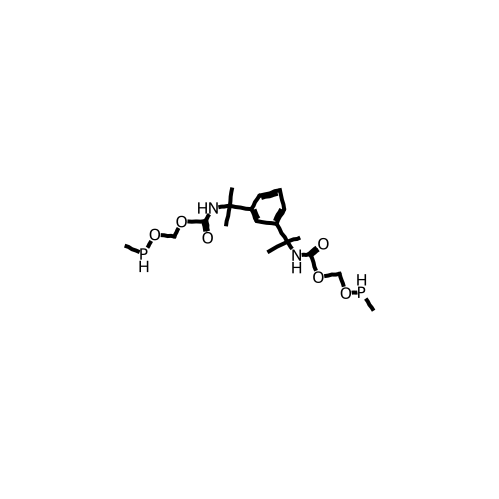 CPOCOC(=O)NC(C)(C)c1cccc(C(C)(C)NC(=O)OCOPC)c1